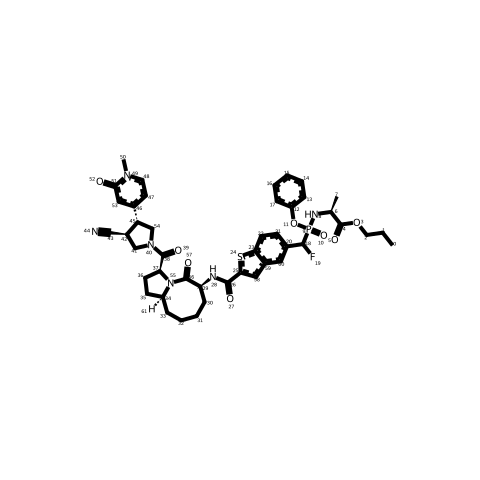 CCCOC(=O)[C@H](C)NP(=O)(Oc1ccccc1)C(F)c1ccc2sc(C(=O)N[C@H]3CCCC[C@H]4CC[C@@H](C(=O)N5C[C@@H](C#N)[C@H](c6ccn(C)c(=O)c6)C5)N4C3=O)cc2c1